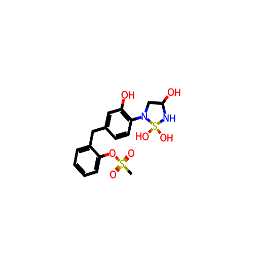 CS(=O)(=O)Oc1ccccc1Cc1ccc(N2CC(O)NS2(O)O)c(O)c1